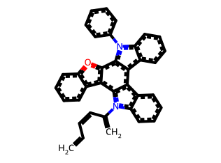 C=C/C=C\C(=C)n1c2ccccc2c2c3c4ccccc4n(-c4ccccc4)c3c3oc4ccccc4c3c21